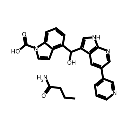 CCCC(N)=O.O=C(O)n1ccc2c(C(O)c3c[nH]c4ncc(-c5cccnc5)cc34)cccc21